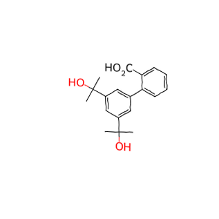 CC(C)(O)c1cc(-c2ccccc2C(=O)O)cc(C(C)(C)O)c1